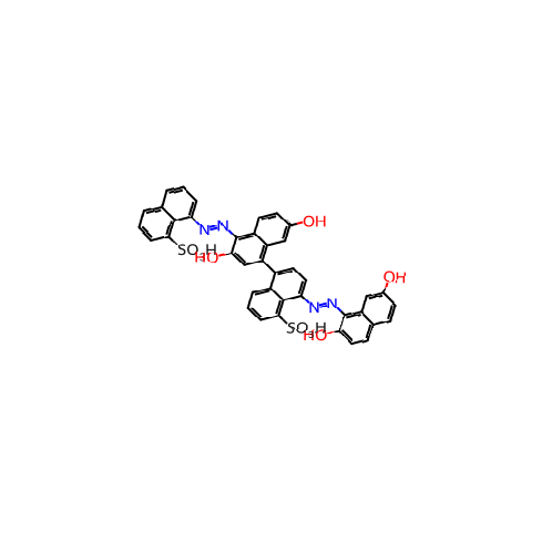 O=S(=O)(O)c1cccc2cccc(/N=N/c3c(O)cc(-c4ccc(/N=N/c5c(O)ccc6ccc(O)cc56)c5c(S(=O)(=O)O)cccc45)c4cc(O)ccc34)c12